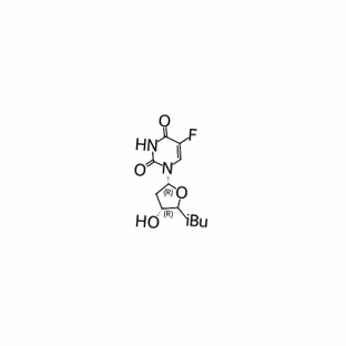 CCC(C)C1O[C@@H](n2cc(F)c(=O)[nH]c2=O)C[C@H]1O